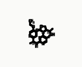 C[C@H](Nc1ncc(F)c(N2C(=O)OCC2[C@@H](C)O)n1)c1ccc(OCC(F)(F)F)cn1